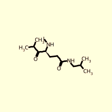 CC(C)CNC(=O)CC[C@H](NI)C(=O)C(C)C